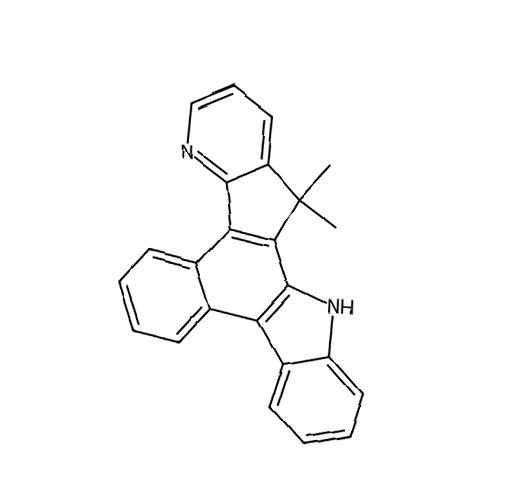 CC1(C)c2cccnc2-c2c1c1[nH]c3ccccc3c1c1ccccc21